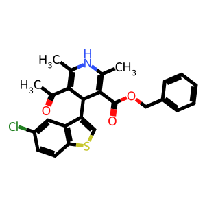 CC(=O)C1=C(C)NC(C)=C(C(=O)OCc2ccccc2)C1c1csc2ccc(Cl)cc12